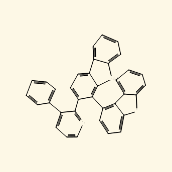 c1ccc(-c2cccnc2-c2ccc3c([nH]c4ccccc43)c2-c2cccc3sc4ccccc4c23)cc1